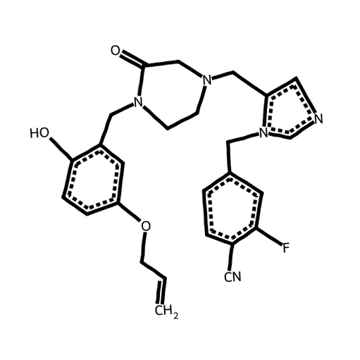 C=CCOc1ccc(O)c(CN2CCN(Cc3cncn3Cc3ccc(C#N)c(F)c3)CC2=O)c1